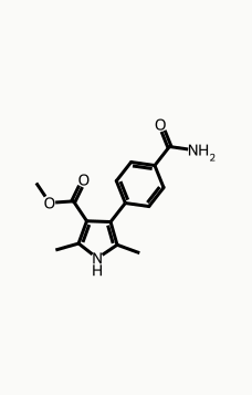 COC(=O)c1c(C)[nH]c(C)c1-c1ccc(C(N)=O)cc1